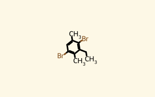 CCc1c(C)c(Br)cc(C)c1Br